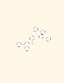 CC1(C)c2cc(N(c3ccc(-c4ccccc4)cc3)c3ccccc3-c3ccccc3)ccc2-c2cc(-c3ccccc3)c3ccccc3c21